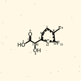 O=C(O)[C@H](O)c1ccc(F)c(F)c1